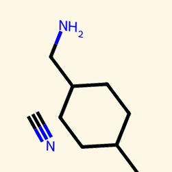 C#N.CC1CCC(CN)CC1